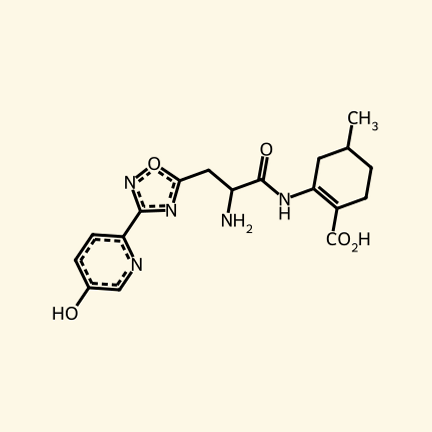 CC1CCC(C(=O)O)=C(NC(=O)C(N)Cc2nc(-c3ccc(O)cn3)no2)C1